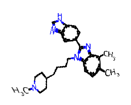 Cc1ccc2c(nc(-c3ccc4[nH]cnc4c3)n2CCCCC2CCN(C)CC2)c1C